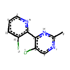 Cc1ncc(Cl)c(-c2ncccc2F)n1